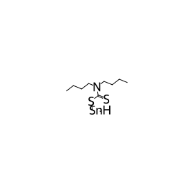 CCCCN(CCCC)C(=S)[S][SnH]